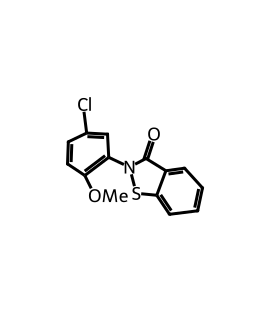 COc1ccc(Cl)cc1-n1sc2ccccc2c1=O